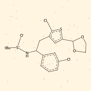 CC(C)(C)[S+]([O-])NC(Cc1cc(C2OCCO2)sc1Cl)c1cccc(Cl)c1